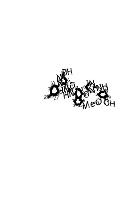 COc1cc(Nc2nccc(Oc3ccc(NC(=O)Nc4cc(O)nn4-c4ccc(C)cc4)c4ccccc34)n2)ccc1O